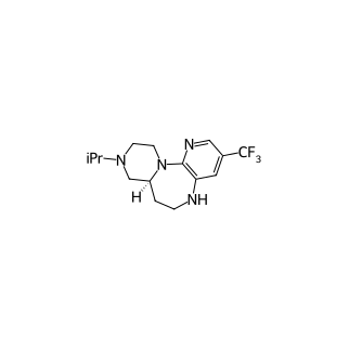 CC(C)N1CCN2c3ncc(C(F)(F)F)cc3NCC[C@H]2C1